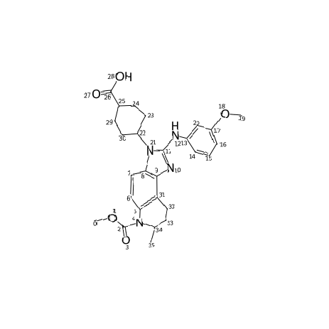 COC(=O)N1c2ccc3c(nc(Nc4cccc(OC)c4)n3C3CCC(C(=O)O)CC3)c2CCC1C